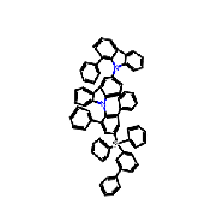 c1ccc(-c2cccc([Si](c3ccccc3)(c3ccccc3)c3cc(-c4ccccc4)c(-n4c5ccccc5c5cc(-n6c7ccccc7c7cccc(-c8ccccc8)c76)ccc54)c(-c4ccccc4)c3)c2)cc1